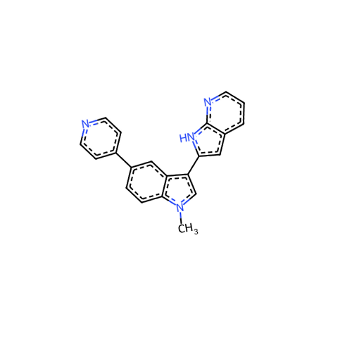 Cn1cc(-c2cc3cccnc3[nH]2)c2cc(-c3ccncc3)ccc21